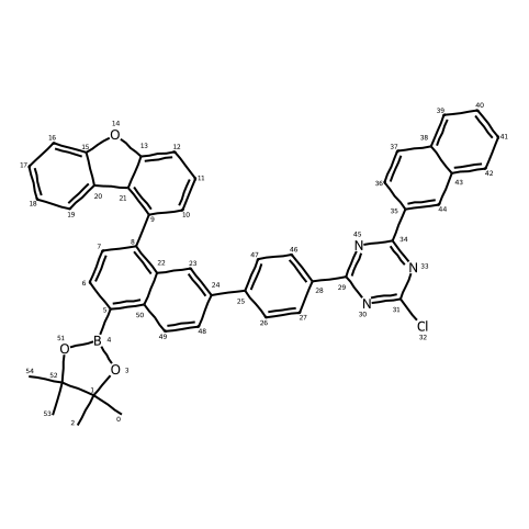 CC1(C)OB(c2ccc(-c3cccc4oc5ccccc5c34)c3cc(-c4ccc(-c5nc(Cl)nc(-c6ccc7ccccc7c6)n5)cc4)ccc23)OC1(C)C